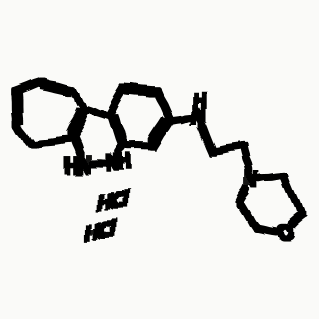 C1=CCC2=C(C=C1)c1ccc(NCCN3CCOCC3)cc1NN2.Cl.Cl